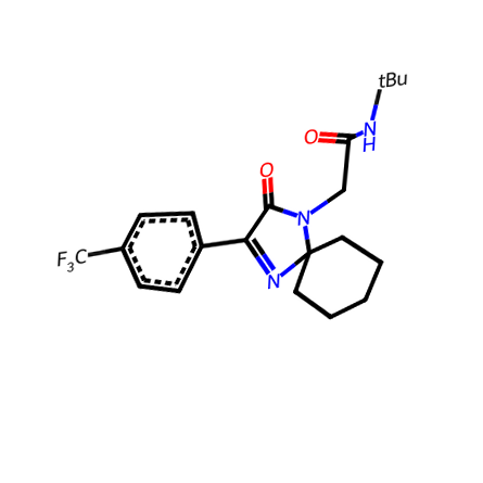 CC(C)(C)NC(=O)CN1C(=O)C(c2ccc(C(F)(F)F)cc2)=NC12CCCCC2